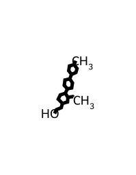 CCC1CC(CCO)CCC1C1CCC(C2CCC(C)CC2)CC1